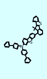 CC1(C)c2c(-c3ccc4c(c3)sc3cc(N(c5ccc(-c6ccccc6)cc5)c5ccc(-c6ccccc6)cc5)ccc34)cccc2-c2sc3ccccc3c21